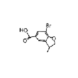 CC1COc2c(Br)cc(C(=O)O)cc21